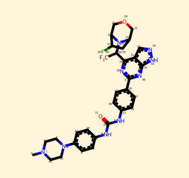 CN1CCN(c2ccc(NC(=O)Nc3ccc(-c4nc(C(N5C6COCC5C(F)C6)C(F)(F)F)c5cn[nH]c5n4)cc3)cc2)CC1